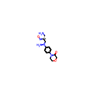 NC[C@H](CN(N)c1ccc(N2CCOCC2=O)cc1)N=O